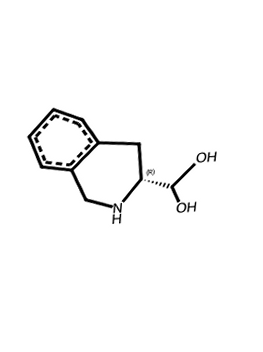 OC(O)[C@H]1Cc2ccccc2CN1